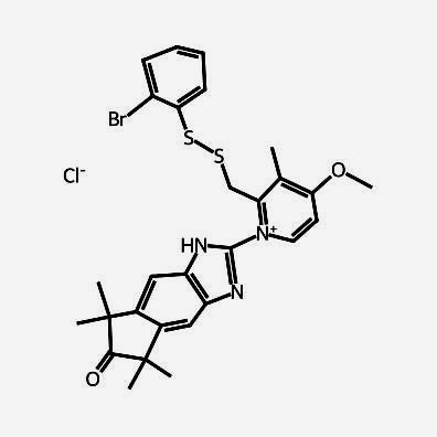 COc1cc[n+](-c2nc3cc4c(cc3[nH]2)C(C)(C)C(=O)C4(C)C)c(CSSc2ccccc2Br)c1C.[Cl-]